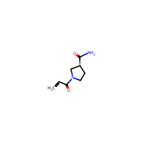 C=CC(=O)N1CC[C@H](C(N)=O)C1